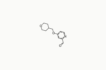 O=Cc1cc(OCC2CCOCC2)ccn1